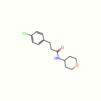 O=C(CCc1ccc(Cl)cc1)NC1CCOCC1